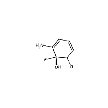 NC1=CC=CC(Cl)[C@]1(O)F